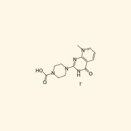 C[n+]1cccc2c(=O)[nH]c(N3CCN(C(=O)O)CC3)nc21.[I-]